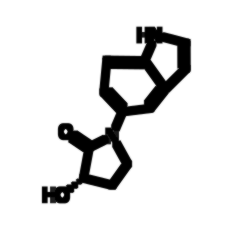 O=C1[C@@H](O)CCN1c1ccc2[nH]ccc2c1